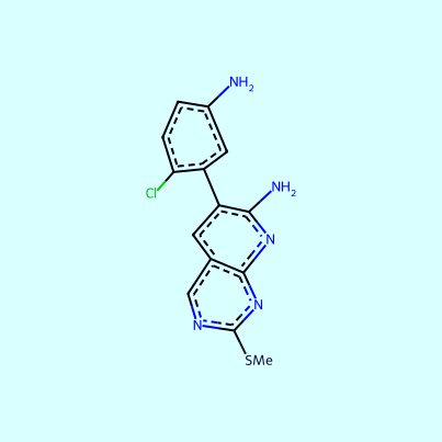 CSc1ncc2cc(-c3cc(N)ccc3Cl)c(N)nc2n1